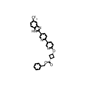 O=C(OCc1ccccc1)[C@H]1C[C@@H](Oc2ccc(-c3ccc(-c4nc5cc(C(F)(F)F)ccc5[nH]4)cn3)cn2)C1